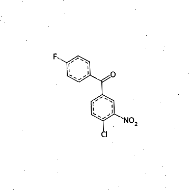 O=C(c1ccc(F)cc1)c1ccc(Cl)c([N+](=O)[O-])c1